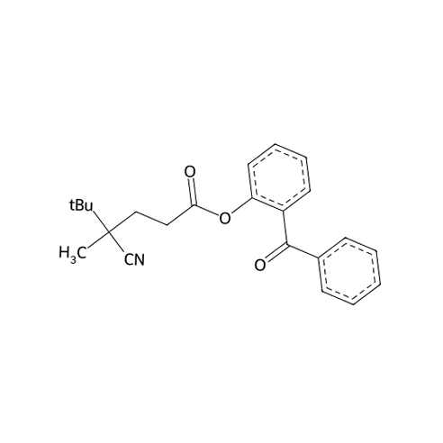 CC(C)(C)C(C)(C#N)CCC(=O)Oc1ccccc1C(=O)c1ccccc1